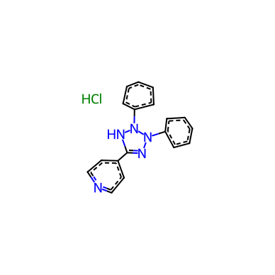 Cl.c1ccc(N2N=C(c3ccncc3)NN2c2ccccc2)cc1